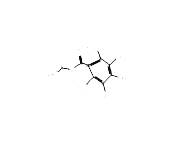 CCc1c(C)c(C(=O)OCOC)c(OC)c(C)c1O